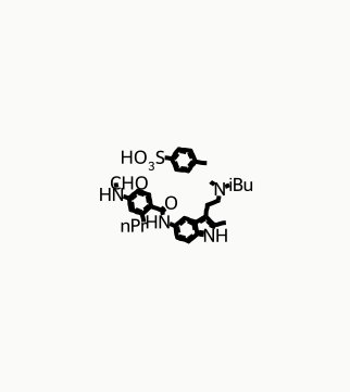 CCCc1cc(NC=O)ccc1C(=O)Nc1ccc2[nH]c(C)c(CCN(C)C(C)CC)c2c1.Cc1ccc(S(=O)(=O)O)cc1